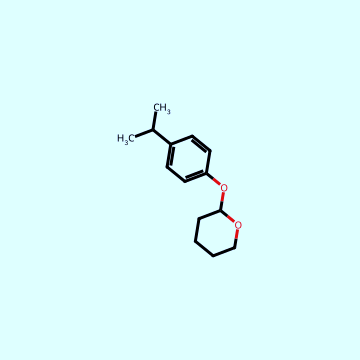 CC(C)c1ccc(OC2CCCCO2)cc1